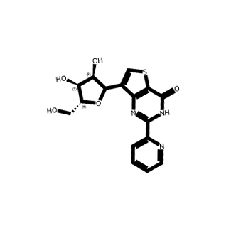 O=c1[nH]c(-c2ccccn2)nc2c(C3O[C@H](CO)[C@@H](O)[C@H]3O)csc12